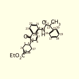 CCOC(=O)N1CCC(n2ccc3c(NC(=O)C(C)c4ccccc4)cccc3c2=O)CC1